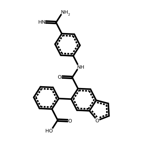 N=C(N)c1ccc(NC(=O)c2cc3ccoc3cc2-c2ccccc2C(=O)O)cc1